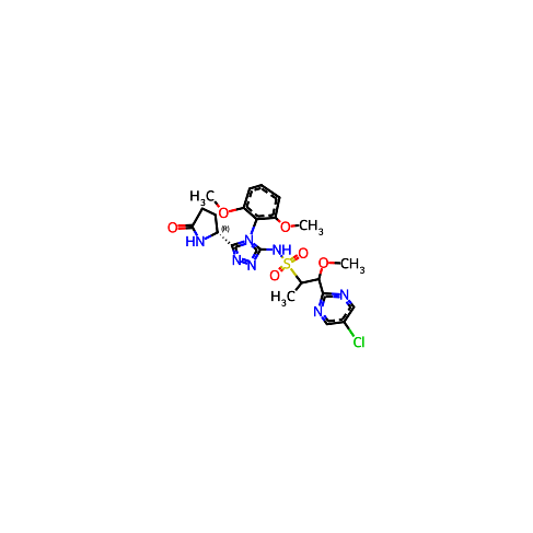 COc1cccc(OC)c1-n1c(NS(=O)(=O)C(C)C(OC)c2ncc(Cl)cn2)nnc1[C@H]1CCC(=O)N1